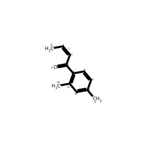 C/C=C\C(=O)c1ccc(C)cc1C